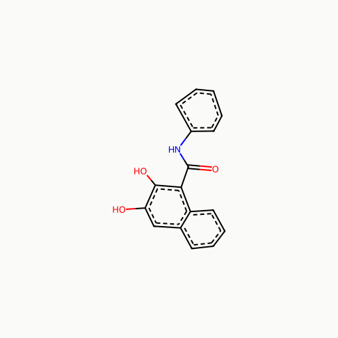 O=C(Nc1ccccc1)c1c(O)c(O)cc2ccccc12